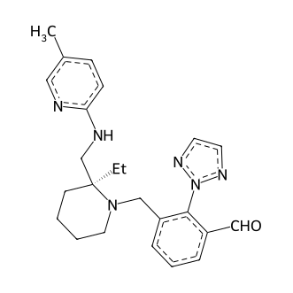 CC[C@@]1(CNc2ccc(C)cn2)CCCCN1Cc1cccc(C=O)c1-n1nccn1